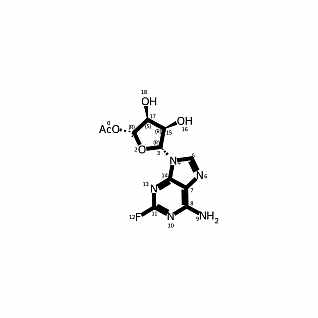 CC(=O)O[C@H]1O[C@@H](n2cnc3c(N)nc(F)nc32)[C@H](O)[C@@H]1O